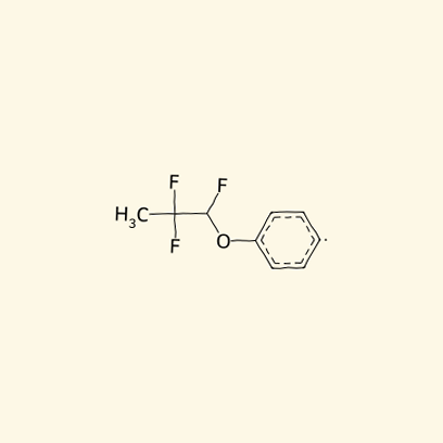 CC(F)(F)C(F)Oc1cc[c]cc1